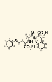 CCOC(=O)C(CCSc1ccccc1)N[C@@H](C)C(=O)N1Cc2ccccc2CC1C(=O)O